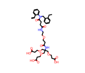 C=Cc1ccccc1N(Cc1ccccc1CC)C(=O)CCC(=O)NCCOCCC(=O)NC(COCCC(=O)O)(COCCC(=O)O)COCCC(=O)O